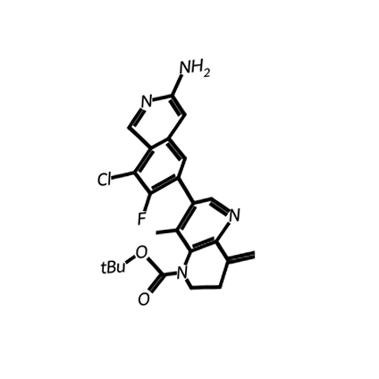 C=C1CCN(C(=O)OC(C)(C)C)c2c1ncc(-c1cc3cc(N)ncc3c(Cl)c1F)c2C